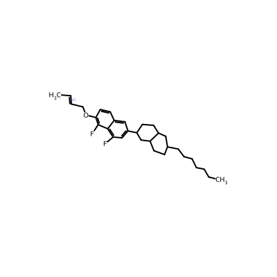 C/C=C/COc1ccc2cc(C3CCC4CC(CCCCCCC)CCC4C3)cc(F)c2c1F